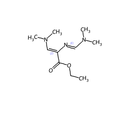 CCOC(=O)C(=C/N(C)C)/N=C/N(C)C